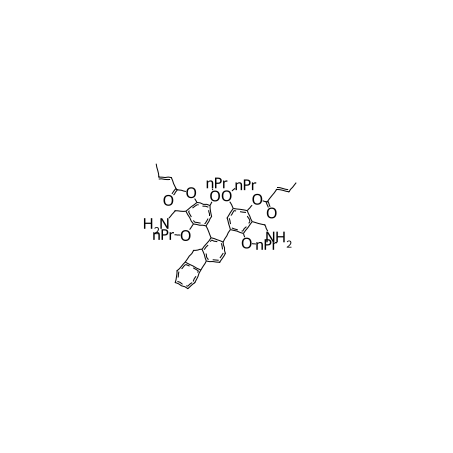 CC=CC(=O)Oc1c(OCCC)cc(-c2ccc3c(c2-c2cc(OCCC)c(OC(=O)C=CC)c(CN)c2OCCC)Cc2ccccc2-3)c(OCCC)c1CN